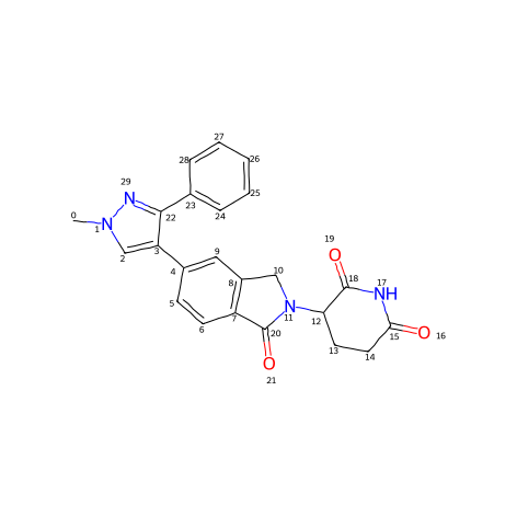 Cn1cc(-c2ccc3c(c2)CN(C2CCC(=O)NC2=O)C3=O)c(-c2ccccc2)n1